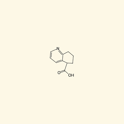 O=C(O)C1CCCc2ncccc21